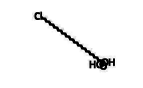 O=P(O)(O)CCCCCCCCCCCCCCCCCCCCCCCCCCCCCCCl